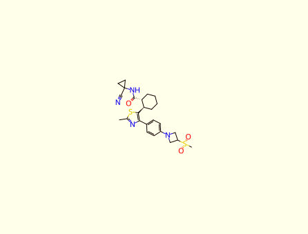 Cc1nc(-c2ccc(N3CC(S(C)(=O)=O)C3)cc2)c([C@@H]2CCCC[C@H]2C(=O)NC2(C#N)CC2)s1